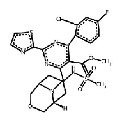 COC(=O)c1c(CN2C3COC[C@H]2CC(NS(C)(=O)=O)C3)nc(-c2nccs2)nc1-c1ccc(F)cc1Cl